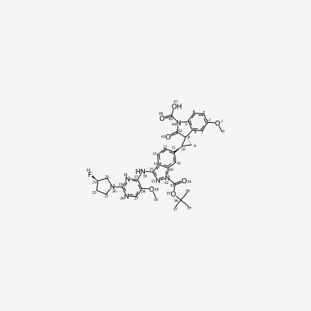 COc1ccc2c(c1)[C@]1(C[C@H]1c1ccc3c(Nc4nc(N5CC[C@@H](F)C5)ncc4OC)nn(C(=O)OC(C)(C)C)c3c1)C(=O)N2C(=O)O